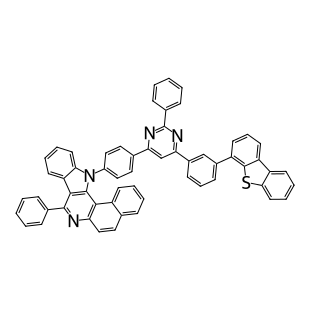 c1ccc(-c2nc(-c3ccc(-n4c5ccccc5c5c(-c6ccccc6)nc6ccc7ccccc7c6c54)cc3)cc(-c3cccc(-c4cccc5c4sc4ccccc45)c3)n2)cc1